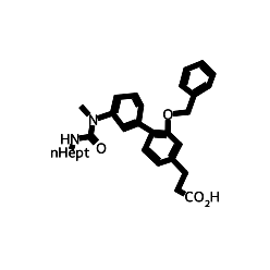 CCCCCCCNC(=O)N(C)c1cccc(-c2ccc(CCC(=O)O)cc2OCc2ccccc2)c1